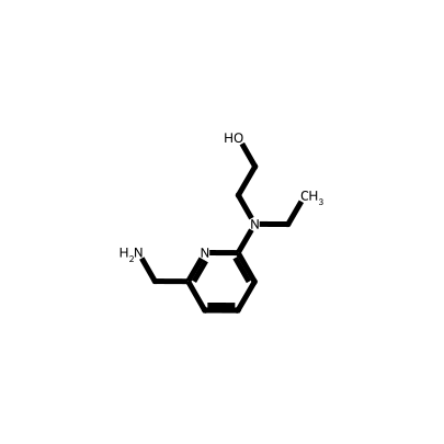 CCN(CCO)c1cccc(CN)n1